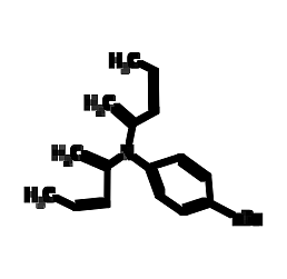 C=C(/C=C\C)N(C(=C)/C=C\C)c1ccc(CCCC)cc1